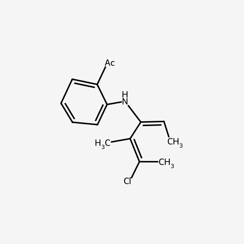 C/C=C(Nc1ccccc1C(C)=O)\C(C)=C(/C)Cl